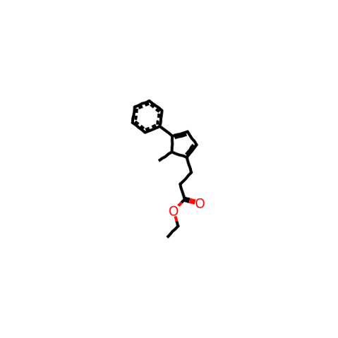 CCOC(=O)CCC1=CC=C(c2ccccc2)C1C